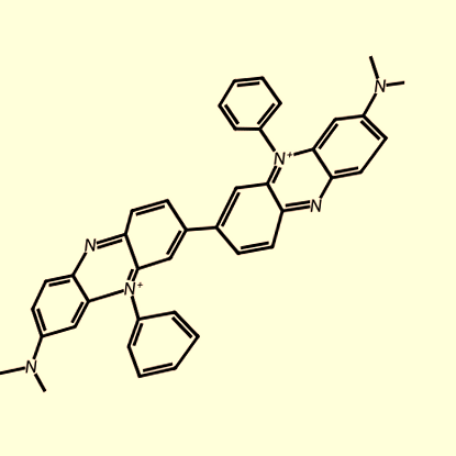 CN(C)c1ccc2nc3ccc(-c4ccc5nc6ccc(N(C)C)cc6[n+](-c6ccccc6)c5c4)cc3[n+](-c3ccccc3)c2c1